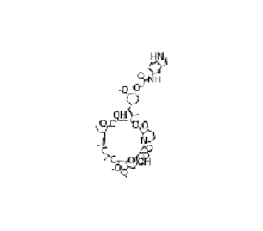 CCC1/C=C(\C)CC(C)CC(OC)C2OC(O)(C(=O)C(=O)N3CCCCC3C(=O)OC(C(C)=CC3CCC(OCC(=O)Nc4ccc5[nH]ccc5c4)C(OC)C3)C(C)C(O)CC1=O)C(C)CC2OC